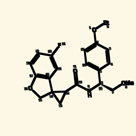 CCOc1ccc([C@H](COC)NC(=O)C2CC23COc2ccc(F)cc23)cc1